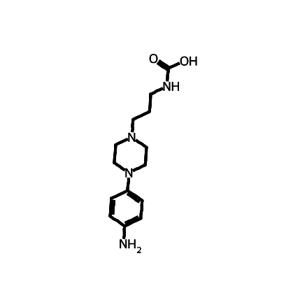 Nc1ccc(N2CCN(CCCNC(=O)O)CC2)cc1